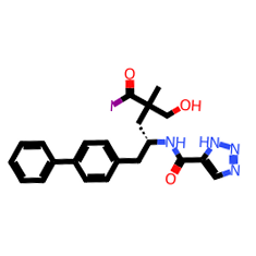 CC(CO)(C[C@@H](Cc1ccc(-c2ccccc2)cc1)NC(=O)c1cnn[nH]1)C(=O)I